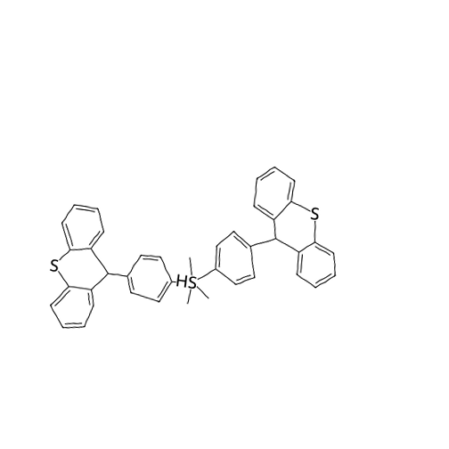 C[SH](C)(C)(c1ccc(C2c3ccccc3Sc3ccccc32)cc1)c1ccc(C2c3ccccc3Sc3ccccc32)cc1